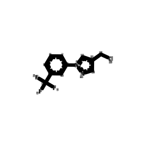 FC(F)(F)c1cccc(-n2cc(CCl)cn2)c1